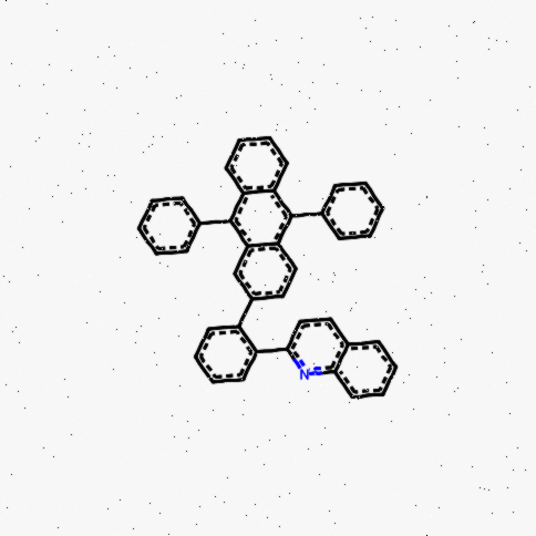 c1ccc(-c2c3ccccc3c(-c3ccccc3)c3cc(-c4ccccc4-c4ccc5ccccc5n4)ccc23)cc1